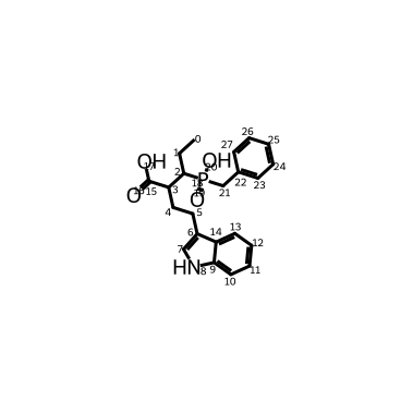 CCC(C(CCc1c[nH]c2ccccc12)C(=O)O)P(=O)(O)Cc1ccccc1